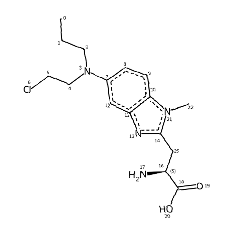 CCCN(CCCl)c1ccc2c(c1)nc(C[C@H](N)C(=O)O)n2C